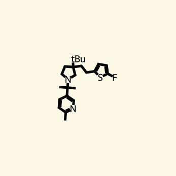 Cc1ccc(C(C)(C)N2CCC(CCc3ccc(F)s3)(C(C)(C)C)C2)cn1